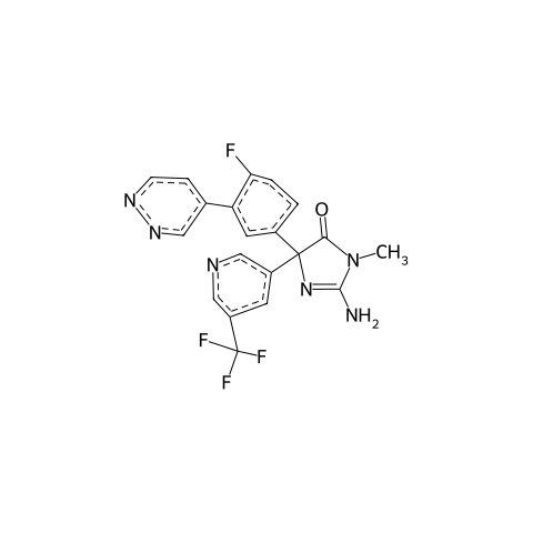 CN1C(=O)C(c2cncc(C(F)(F)F)c2)(c2ccc(F)c(-c3ccnnc3)c2)N=C1N